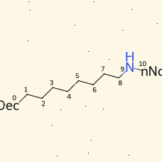 CCCCCCCCCCCCCCCCCCNCCCCCCCCC